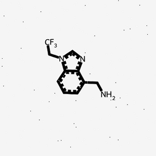 NCc1cccc2c1ncn2CC(F)(F)F